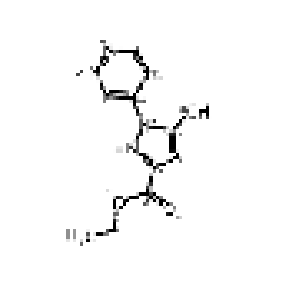 CCOC(=O)c1cc(C)n(-c2ccnnc2)n1